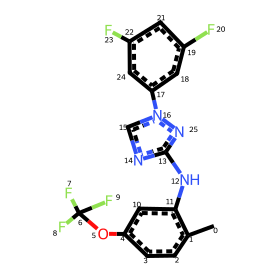 Cc1ccc(OC(F)(F)F)cc1Nc1ncn(-c2cc(F)cc(F)c2)n1